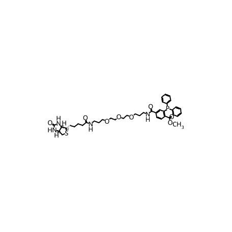 COC(=O)c1ccc(C(=O)NCCCOCCOCCOCCCNC(=O)CCCC[C@@H]2SC[C@@H]3NC(=O)N[C@@H]32)cc1P(c1ccccc1)c1ccccc1